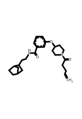 C=CCCC(=O)N1CCC(Oc2cccc(C(=O)NCCC3CC4CCC3C4)c2)CC1